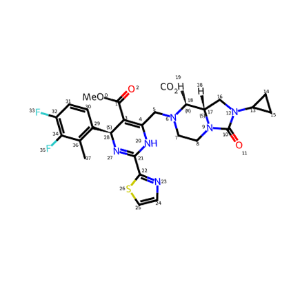 COC(=O)C1=C(CN2CCN3C(=O)N(C4CC4)C[C@H]3[C@@H]2C(=O)O)NC(c2nccs2)=N[C@H]1c1ccc(F)c(F)c1C